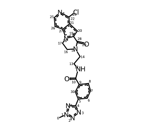 Cn1nnc(-c2cccc(C(=O)NCCN3CCn4c(cc5c(Cl)nccc54)C3=O)c2)n1